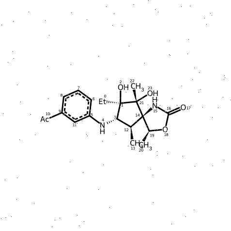 CC[C@@]1(O)[C@@H](Nc2cccc(C(C)=O)c2)[C@H](C)[C@]2(NC(=O)O[C@H]2C)[C@@]1(C)O